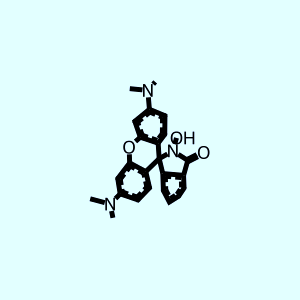 CN(C)c1ccc2c(c1)Oc1cc(N(C)C)ccc1C21c2ccccc2C(=O)N1O